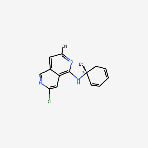 CC[C@]1(Nc2nc(C#N)cc3cnc(Cl)cc23)C=CC=CC1